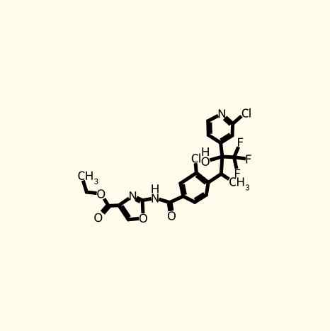 CCOC(=O)c1coc(NC(=O)c2ccc(C(C)C(O)(c3ccnc(Cl)c3)C(F)(F)F)c(Cl)c2)n1